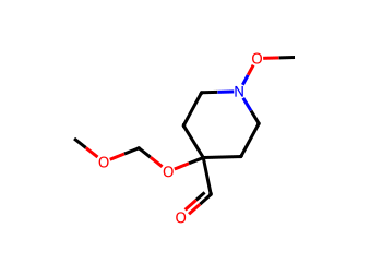 COCOC1(C=O)CCN(OC)CC1